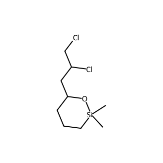 C[Si]1(C)CCCC(CC(Cl)CCl)O1